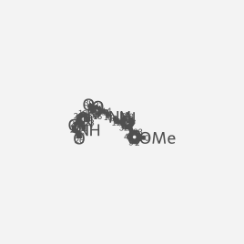 COc1cccc(-c2cnnc(CNCCC3CN(c4ccc5c(n4)NC(=O)CO5)C(=O)O3)c2)c1